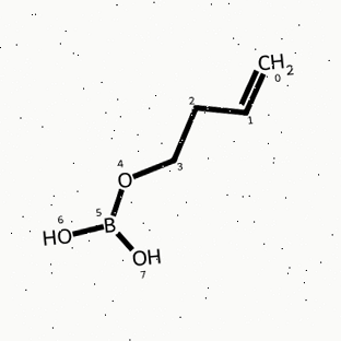 C=CCCOB(O)O